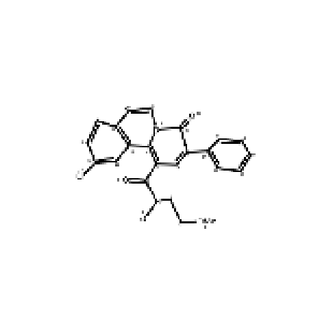 CCN(CCOC)C(=O)c1cc(-c2ccccc2)c(=O)n2ccc3ccc(Cl)cc3c12